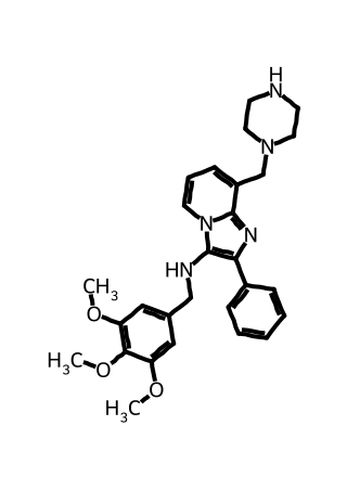 COc1cc(CNc2c(-c3ccccc3)nc3c(CN4CCNCC4)cccn23)cc(OC)c1OC